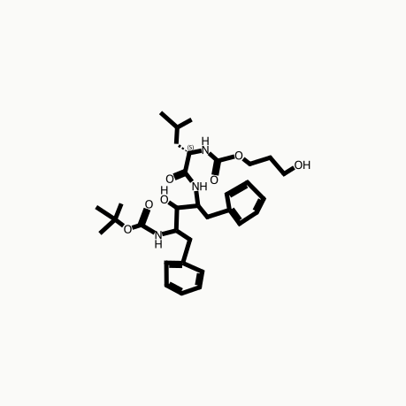 CC(C)C[C@H](NC(=O)OCCCO)C(=O)NC(Cc1ccccc1)C(O)C(Cc1ccccc1)NC(=O)OC(C)(C)C